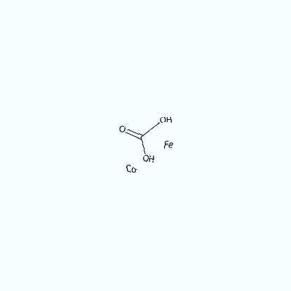 O=C(O)O.[Co].[Fe]